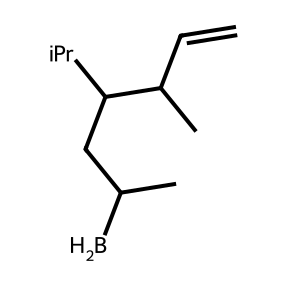 BC(C)CC(C(C)C)C(C)C=C